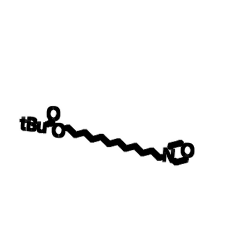 CC(C)(C)C(=O)OCCCCCCCCCCCCN1CCOCC1